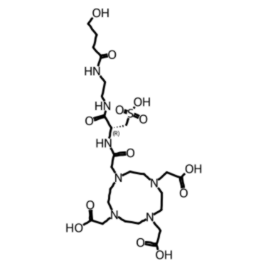 O=C(O)CN1CCN(CC(=O)O)CCN(CC(=O)N[C@@H](CS(=O)(=O)O)C(=O)NCCNC(=O)CCCO)CCN(CC(=O)O)CC1